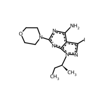 CC[C@H](C)n1nc(I)c2c(N)nc(N3CCOCC3)nc21